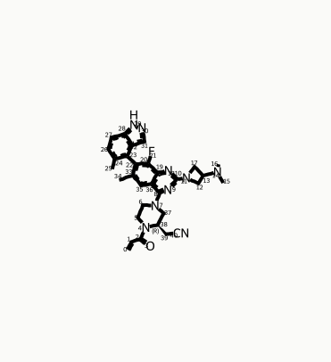 C=CC(=O)N1CCN(c2nc(N3CC(N(C)C)C3)nc3c(F)c(-c4c(C)ccc5[nH]ncc45)c(C)cc23)C[C@H]1CC#N